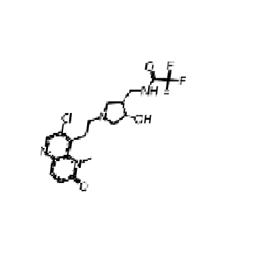 Cn1c(=O)ccc2ncc(Cl)c(CCN3C[C@@H](CNC(=O)C(F)(F)F)[C@@H](O)C3)c21